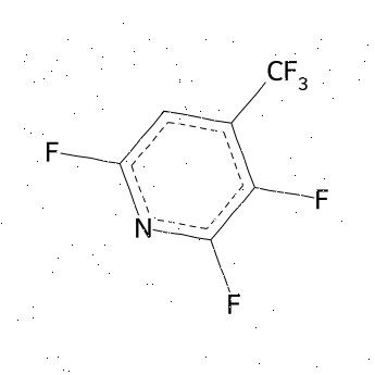 Fc1cc(C(F)(F)F)c(F)c(F)n1